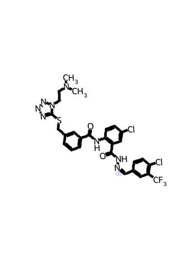 CN(C)CCn1nnnc1SCc1cccc(C(=O)Nc2ccc(Cl)cc2C(=O)N/N=C\c2ccc(Cl)c(C(F)(F)F)c2)c1